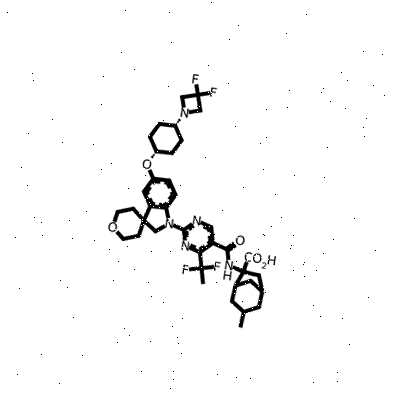 CC1CC2CC(C1)C(NC(=O)c1cnc(N3CC4(CCOCC4)c4cc(O[C@H]5CC[C@@H](N6CC(F)(F)C6)CC5)ccc43)nc1C(C)(F)F)(C(=O)O)C2